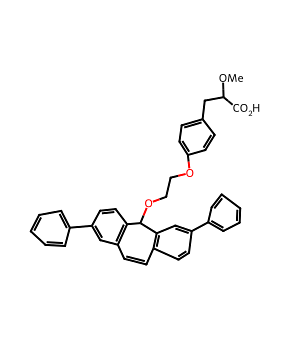 COC(Cc1ccc(OCCOC2c3ccc(-c4ccccc4)cc3C=Cc3ccc(-c4ccccc4)cc32)cc1)C(=O)O